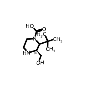 CC(C)(C)C1[C@@H](CO)NCCN1C(=O)O